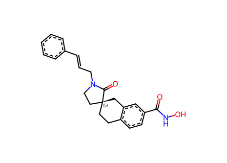 O=C(NO)c1ccc2c(c1)C[C@@]1(CC2)CCN(CC=Cc2ccccc2)C1=O